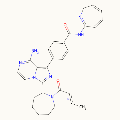 C/C=C/C(=O)N1CCCCCC1c1nc(-c2ccc(C(=O)NC3=NCC=CC=C3)cc2)c2c(N)nccn12